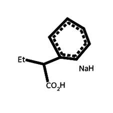 CCC(C(=O)O)c1ccccc1.[NaH]